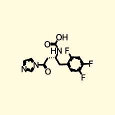 O=C(O)N[C@@H](CC(=O)n1ccnc1)Cc1cc(F)c(F)cc1F